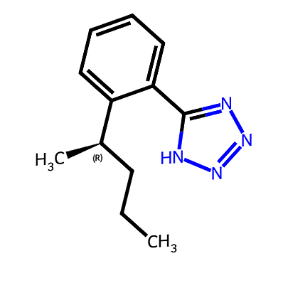 CCC[C@@H](C)c1ccccc1-c1nnn[nH]1